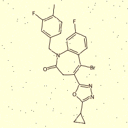 Cc1ccc(CN2C(=O)CC(c3nnc(C4CC4)o3)=C(Br)c3ccc(F)cc32)cc1F